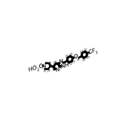 O=C(O)N1CCC(c2cnc3[nH]c(-c4ccc(OCc5ccc(C(F)(F)F)cc5)cc4)nc3c2)CC1